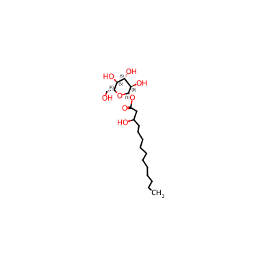 CCCCCCCCCCCC(O)CC(=O)O[C@@H]1O[C@H](CO)[C@@H](O)[C@H](O)[C@H]1O